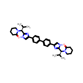 CC(C)[C@@H](c1nc(-c2ccc(-c3ccc(-c4c[nH]c([C@H](C(C)C)N5CCCCC5=O)n4)cc3)cc2)c[nH]1)N1CCCCC1=O